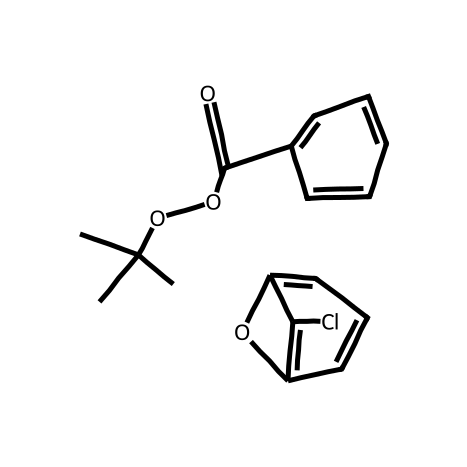 CC(C)(C)OOC(=O)c1ccccc1.Clc1c2cccc1O2